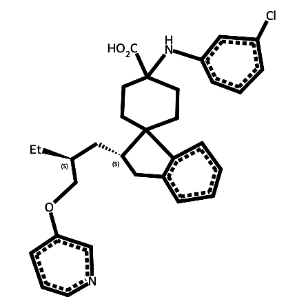 CC[C@H](COc1cccnc1)C[C@H]1Cc2ccccc2C12CCC(Nc1cccc(Cl)c1)(C(=O)O)CC2